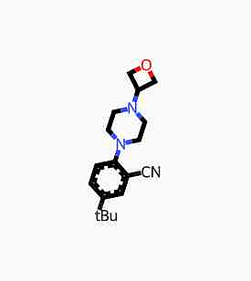 CC(C)(C)c1ccc(N2CCN(C3COC3)CC2)c(C#N)c1